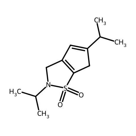 CC(C)C1=CC2=C(C1)S(=O)(=O)N(C(C)C)C2